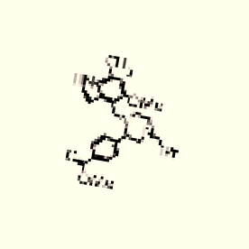 COC(=O)c1ccc(C2CN(CC(C)C)CCN2Cc2c(OC)cc(C)c3[nH]ccc23)cc1